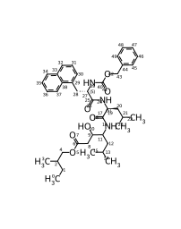 CCC(C)COC(=O)CC(O)C(CC(C)C)NC(=O)[C@H](CC(C)C)NC(=O)[C@H](Cc1cccc2ccccc12)NC(=O)OCc1ccccc1